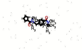 CN(C(=O)c1ccc(CC(C)(C)N(C)C(=O)C2CCCC2)cc1)C(C)(C)C